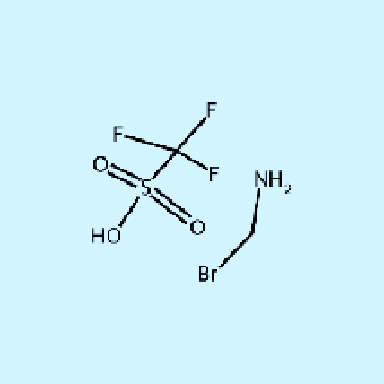 NCBr.O=S(=O)(O)C(F)(F)F